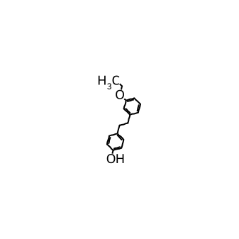 CCOc1cccc(CCc2ccc(O)cc2)c1